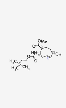 COC(=O)[C@H]1CC[C@@H](O)/C=C/C[C@@H]1NC(=O)OCCS(C)(C)C